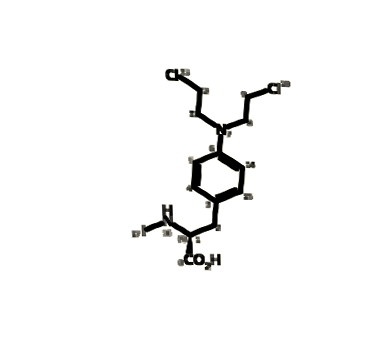 O=C(O)[C@H](Cc1ccc(N(CCCl)CCCl)cc1)NI